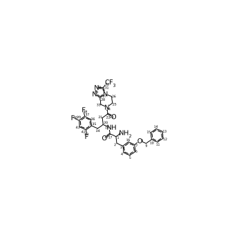 NC(Cc1cccc(OCc2ccccc2)c1)C(=O)NC(CC(=O)N1CCn2c(nnc2C(F)(F)F)C1)Cc1cc(F)c(F)cc1F